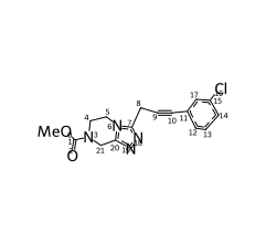 COC(=O)N1CCn2c(CC#Cc3cccc(Cl)c3)nnc2C1